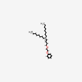 CCCCCCCC[SiH](CCCCCCCC)CCCCOCCOc1ccccc1